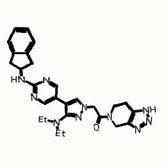 CCN(CC)c1nn(CC(=O)N2CCc3[nH]nnc3C2)cc1-c1cnc(NC2Cc3ccccc3C2)nc1